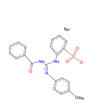 COc1ccc(/N=C(/NC(=O)c2ccccc2)Nc2ccccc2S(=O)(=O)[O-])cc1.[Na+]